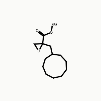 CCC(C)OC(=O)C1(CC2CCCCCCCC2)CO1